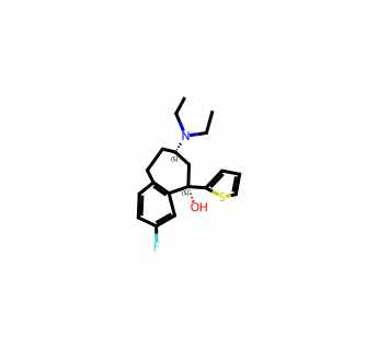 CCN(CC)[C@H]1CCc2ccc(F)cc2[C@](O)(c2cccs2)C1